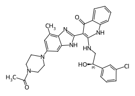 CC(=O)N1CCN(c2cc(C)c3nc(-c4c(NC[C@H](O)c5cccc(Cl)c5)[nH]c5ccccc5c4=O)[nH]c3c2)CC1